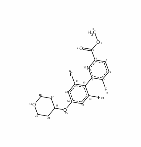 COC(=O)c1ccc(F)c(-c2c(F)cc(OC3CCOCC3)cc2F)n1